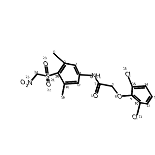 Cc1cc(NC(=O)COc2c(Cl)cccc2Cl)cc(C)c1S(=O)(=O)C[N+](=O)[O-]